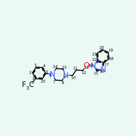 FC(F)(F)c1cccc(N2CCN(CCCOn3cnc4ccccc43)CC2)c1